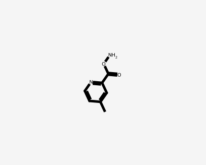 Cc1ccnc(C(=O)ON)c1